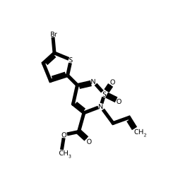 C=CCN1C(C(=O)OC)=CC(c2ccc(Br)s2)=NS1(=O)=O